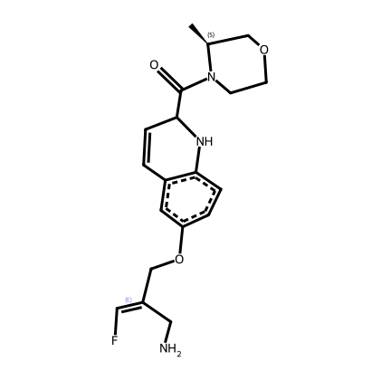 C[C@H]1COCCN1C(=O)C1C=Cc2cc(OC/C(=C/F)CN)ccc2N1